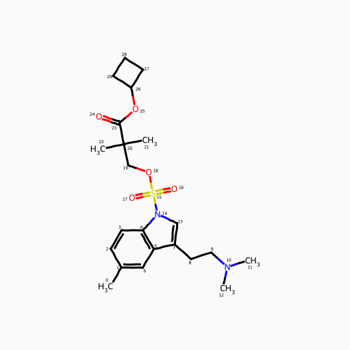 Cc1ccc2c(c1)c(CCN(C)C)cn2S(=O)(=O)OCC(C)(C)C(=O)OC1CCC1